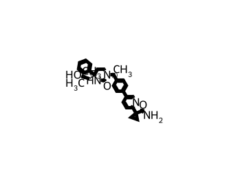 C[C@@H](c1ccc(-c2ccc(C3(C(N)=O)CC3)nc2)cc1)N1CC[C@](CC(C)(C)O)(c2ccccc2)NC1=O